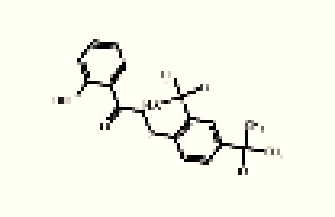 CCC(C)(C)c1ccc(OCC(=O)c2ccccc2[C]=O)c(C(C)(C)CC)c1